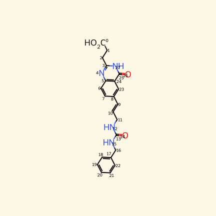 O=C(O)CCc1nc2ccc(C=CCNC(=O)NCc3ccccc3)cc2c(=O)[nH]1